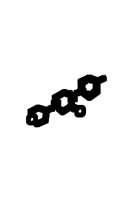 Cc1ccc(N2CCN(C3CCOCC3)CC2=O)cc1